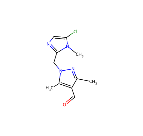 Cc1nn(Cc2ncc(Cl)n2C)c(C)c1C=O